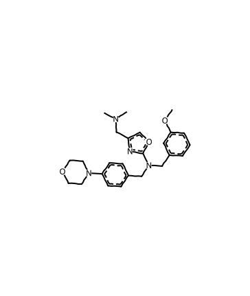 COc1cccc(CN(Cc2ccc(N3CCOCC3)cc2)c2nc(CN(C)C)co2)c1